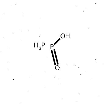 O=PO.P